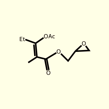 CCC(OC(C)=O)=C(C)C(=O)OCC1CO1